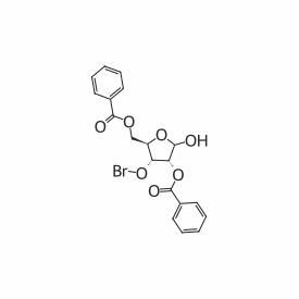 O=C(OC[C@H]1OC(O)[C@H](OC(=O)c2ccccc2)[C@@H]1OBr)c1ccccc1